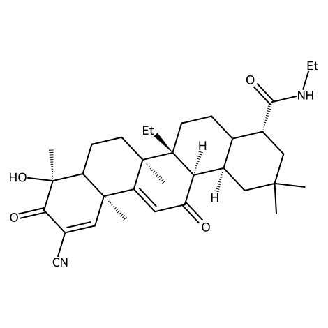 CCNC(=O)[C@@H]1CC(C)(C)C[C@@H]2C1CC[C@]1(CC)[C@@H]2C(=O)C=C2[C@@]3(C)C=C(C#N)C(=O)[C@@](C)(O)C3CC[C@]21C